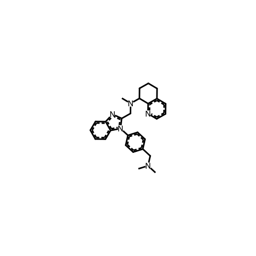 CN(C)Cc1ccc(-n2c(CN(C)C3CCCc4cccnc43)nc3ccccc32)cc1